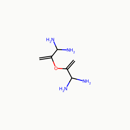 C=C(OC(=C)C(N)N)C(N)N